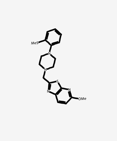 COc1ccc2nc(CN3CCN(c4ccccc4SC)CC3)sc2n1